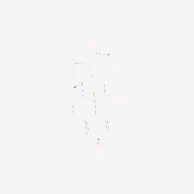 CC1C[C@H]2[C@@H]3CCC4=CC(=O)C=C[C@]4(C)[C@@]3(F)C(O)C[C@]2(C)[C@H]1C(=O)C(N)=O